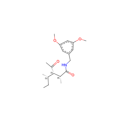 CC[C@H](C)[C@H](C(C)=O)[C@@H](C)C(=O)NCc1cc(OC)cc(OC)c1